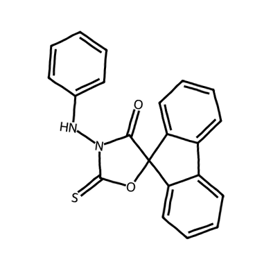 O=C1N(Nc2ccccc2)C(=S)OC12c1ccccc1-c1ccccc12